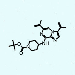 C=C(C)c1cn2c(C(=C)C)cnc2c(NC2CCN(C(=O)OC(C)(C)C)CC2)n1